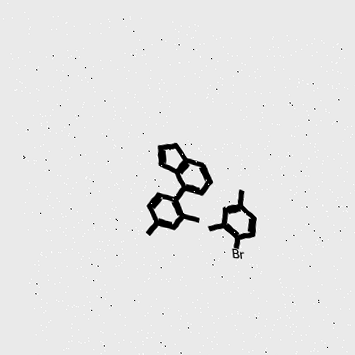 Cc1ccc(-c2cccc3c2C=CC3)c(C)c1.Cc1ccc(Br)c(C)c1